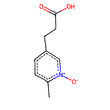 Cc1ccc(CCC(=O)O)c[n+]1[O-]